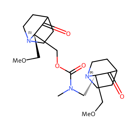 COC[C@]1(COC(=O)N(C)C[C@@]2(COC)C(=O)C3CCN2CC3)C(=O)C2CCN1CC2